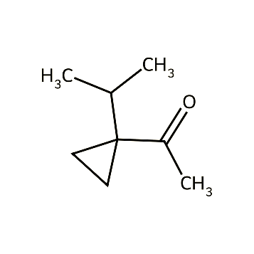 CC(=O)C1(C(C)C)CC1